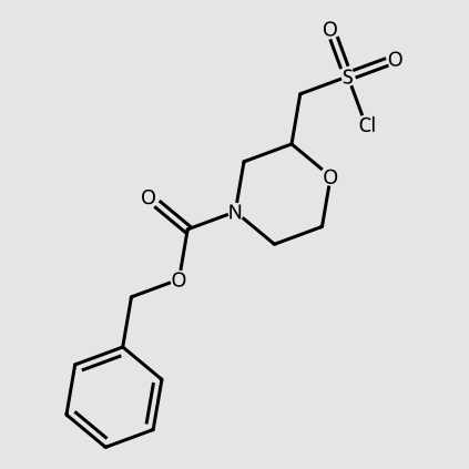 O=C(OCc1ccccc1)N1CCOC(CS(=O)(=O)Cl)C1